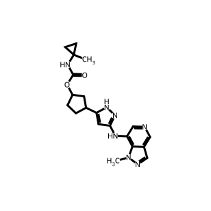 Cn1ncc2cncc(Nc3cc(C4CCC(OC(=O)NC5(C)CC5)C4)[nH]n3)c21